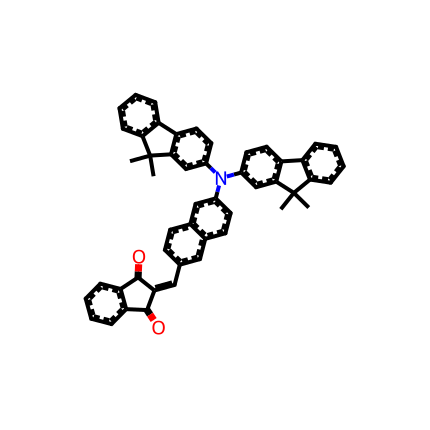 CC1(C)c2ccccc2-c2ccc(N(c3ccc4c(c3)C(C)(C)c3ccccc3-4)c3ccc4cc(C=C5C(=O)c6ccccc6C5=O)ccc4c3)cc21